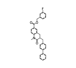 CN1C(=O)C(Cc2ccc(-c3ccccc3)cc2)Cc2cc(C(=O)OCc3cccc(F)c3)ccc21